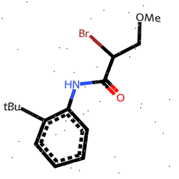 COCC(Br)C(=O)Nc1ccccc1C(C)(C)C